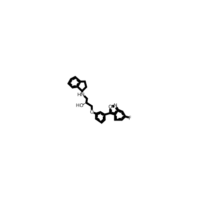 O[C@H](CNC1CCc2ccccc21)COc1cccc(-c2onc3cc(F)ccc23)c1